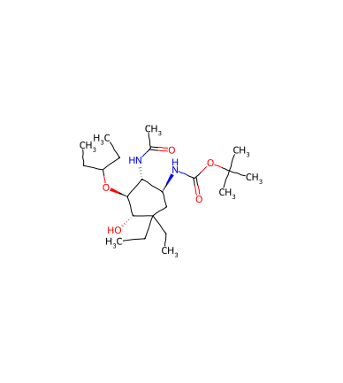 CCC(CC)O[C@H]1[C@H](NC(C)=O)[C@@H](NC(=O)OC(C)(C)C)CC(CC)(CC)[C@@H]1O